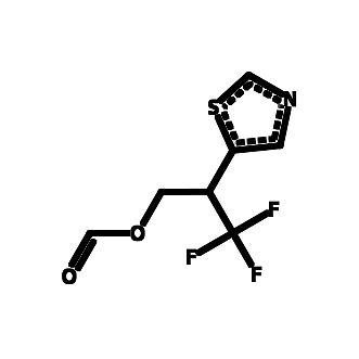 O=COCC(c1cncs1)C(F)(F)F